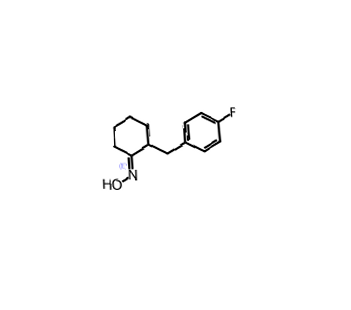 O/N=C1\CCCCC1Cc1ccc(F)cc1